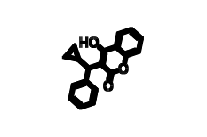 O=c1oc2ccccc2c(O)c1C(c1ccccc1)C1CC1